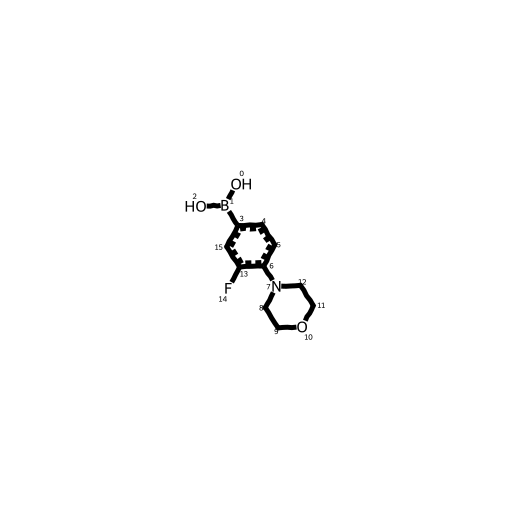 OB(O)c1ccc(N2CCOCC2)c(F)c1